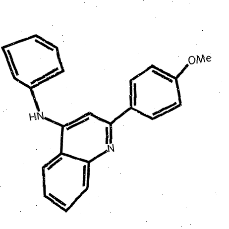 COc1ccc(-c2cc(Nc3ccccc3)c3ccccc3n2)cc1